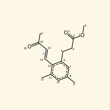 COC(=O)CCc1cc(C)cc(C)c1/C=C/C(C)=O